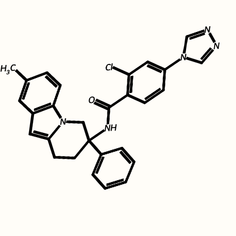 Cc1ccc2c(c1)cc1n2CC(NC(=O)c2ccc(-n3cnnc3)cc2Cl)(c2ccccc2)CC1